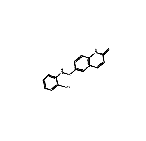 C=C1C=Cc2cc(SNc3ccccc3CCC)ccc2N1